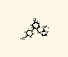 Nc1nccn1Cc1ccc(C(F)(F)F)cc1N1CCC(O)CC1